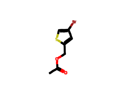 CC(=O)OCc1cc(Br)cs1